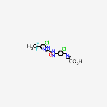 CC(F)(F)c1cc(Cl)c2nc(-c3nc(-c4ccc(CN5CC(C(=O)O)C5)c(Cl)c4)no3)cn2c1